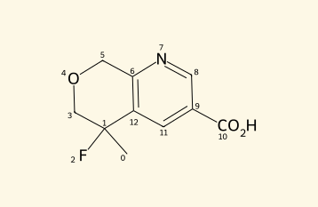 CC1(F)COCc2ncc(C(=O)O)cc21